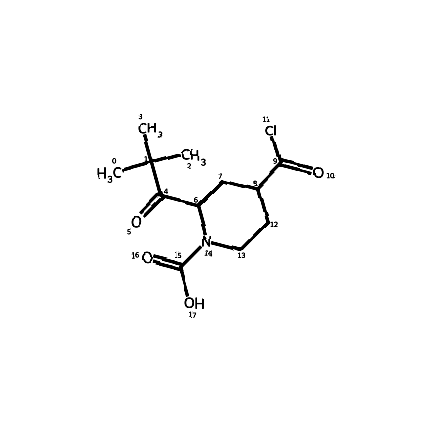 CC(C)(C)C(=O)C1CC(C(=O)Cl)CCN1C(=O)O